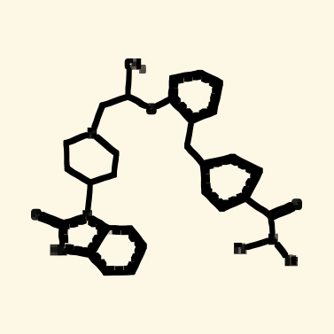 CCN(CC)C(=O)c1ccc(Cc2ccccc2OC(C)CN2CCC(n3c(=O)[nH]c4ccccc43)CC2)cc1